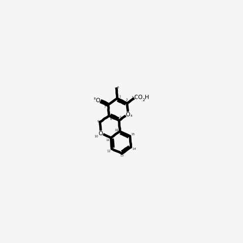 Cc1c(C(=O)O)oc2c(c1=O)COc1ccccc1-2